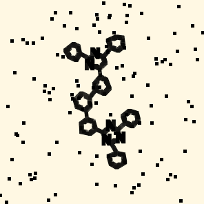 c1ccc(-c2cc(-c3cccc(-c4cccc(-c5cccc(-c6nc(-c7ccccc7)nc(-c7ccccc7)n6)c5)c4)c3)nc(-c3ccccc3)n2)cc1